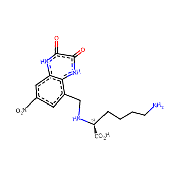 NCCCC[C@H](NCc1cc([N+](=O)[O-])cc2[nH]c(=O)c(=O)[nH]c12)C(=O)O